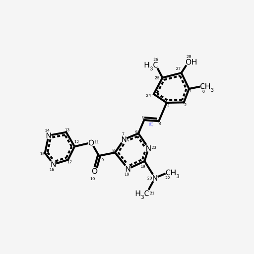 Cc1cc(/C=C/c2nc(C(=O)Oc3cncnc3)nc(N(C)C)n2)cc(C)c1O